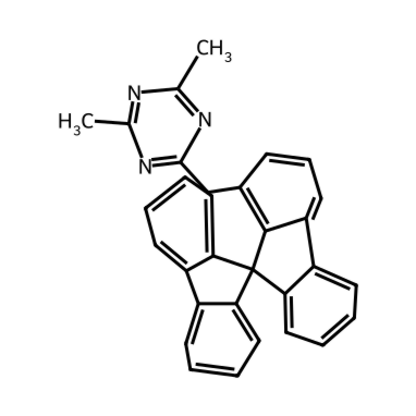 Cc1nc(C)nc(Cc2cccc3c2C2(c4ccccc4-c4ccccc42)c2ccccc2-3)n1